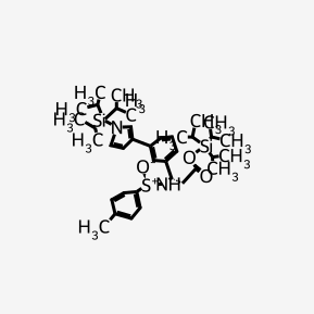 Cc1ccc([S@@+]([O-])N[C@@H](CC(=O)O[Si](C(C)C)(C(C)C)C(C)C)c2cccc(-c3ccn([Si](C(C)C)(C(C)C)C(C)C)c3)c2)cc1